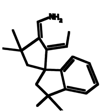 C/C=C1\C(=C/N)C(C)(C)CC12CC(C)(C)c1ccccc12